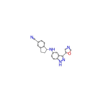 N#Cc1ccc2c(c1)CCC2Nc1ccc2[nH]nc(-c3cnco3)c2c1